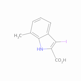 Cc1cccc2c(I)c(C(=O)O)[nH]c12